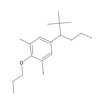 CCCOc1c(C)cc(C(CCC)C(C)(C)C)cc1I